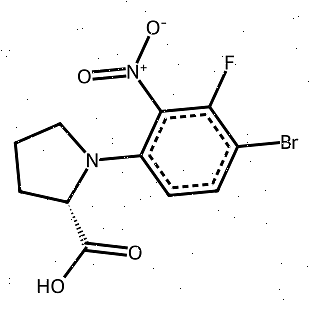 O=C(O)[C@@H]1CCCN1c1ccc(Br)c(F)c1[N+](=O)[O-]